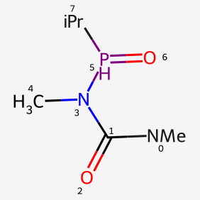 CNC(=O)N(C)[PH](=O)C(C)C